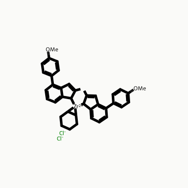 COc1ccc(-c2cccc3c2C=C(C)[CH]3[Zr+2]2([CH]3C(C)=Cc4c(-c5ccc(OC)cc5)cccc43)[CH]3CCCC[CH]32)cc1.[Cl-].[Cl-]